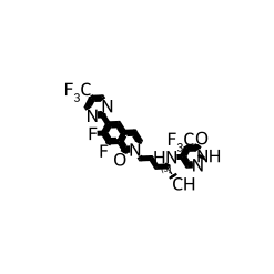 C#C[C@H](CCCn1ccc2cc(-c3ncc(C(F)(F)F)cn3)c(F)c(F)c2c1=O)Nc1cn[nH]c(=O)c1C(F)(F)F